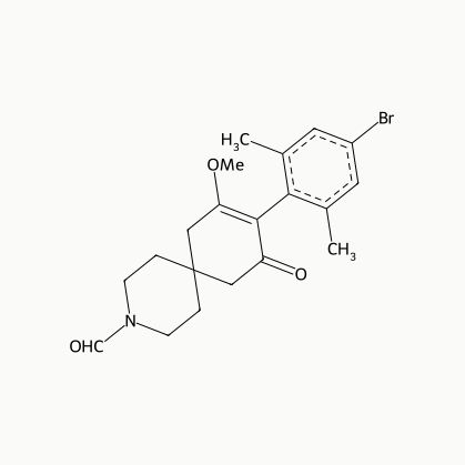 COC1=C(c2c(C)cc(Br)cc2C)C(=O)CC2(CCN(C=O)CC2)C1